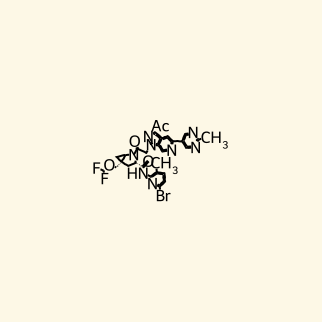 CC(=O)c1nn(CC(=O)N2C3C[C@]3(COC(F)F)C[C@H]2C(=O)Nc2nc(Br)ccc2C)c2cnc(-c3cnc(C)nc3)cc12